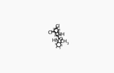 C[C@H]1CCCC[C@H]1NC(=O)c1cc2c(Cl)cc(Cl)cc2[nH]1